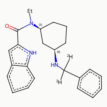 [2H]C([2H])(N[C@@H]1CCC[C@H](N(CC)C(=O)c2cc3ccccc3[nH]2)C1)c1ccccc1